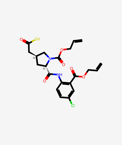 C=CCOC(=O)c1cc(Cl)ccc1NC(=O)[C@@H]1C[C@@H](CC(=O)S)CN1C(=O)OCC=C